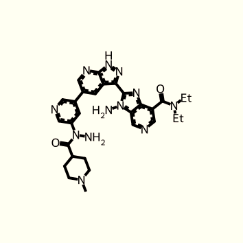 CCN(CC)C(=O)c1cncc2c1nc(-c1n[nH]c3ncc(-c4cncc(N(N)C(=O)C5CCN(C)CC5)c4)cc13)n2N